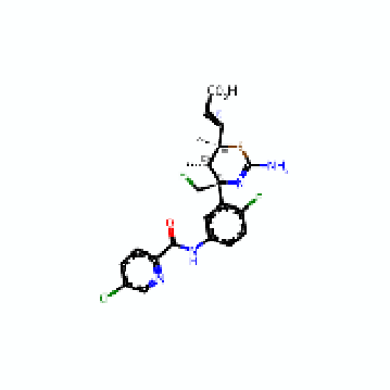 C[C@@H]1[C@@](C)(/C=C/C(=O)O)SC(N)=N[C@]1(CF)c1cc(NC(=O)c2ccc(Cl)cn2)ccc1F